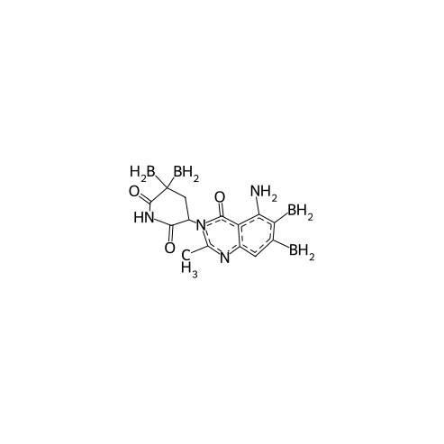 Bc1cc2nc(C)n(C3CC(B)(B)C(=O)NC3=O)c(=O)c2c(N)c1B